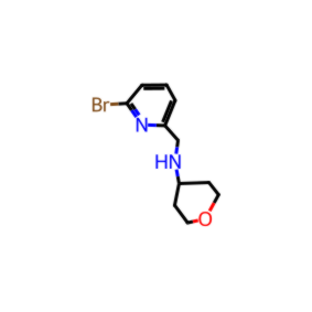 Brc1cccc(CNC2CCOCC2)n1